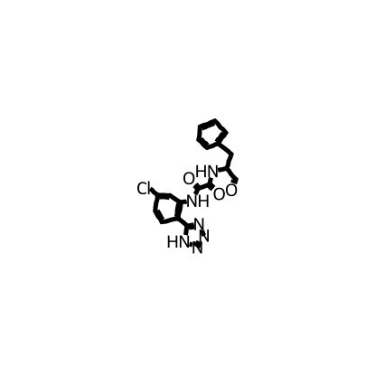 O=CC(Cc1ccccc1)NC(=O)C(=O)Nc1cc(Cl)ccc1-c1nnn[nH]1